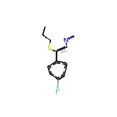 C=N/C=C(\SCCC)c1ccc(F)cc1